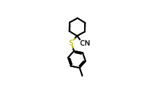 Cc1ccc(SC2(C#N)CCCCC2)cc1